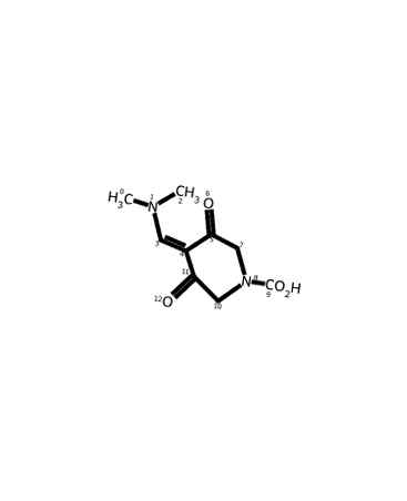 CN(C)C=C1C(=O)CN(C(=O)O)CC1=O